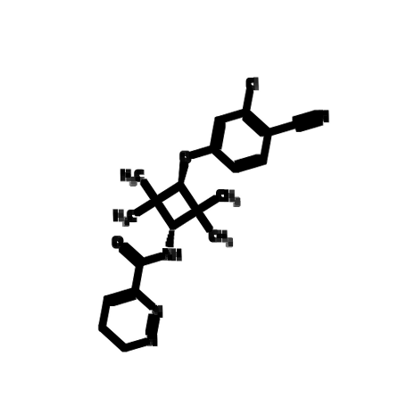 CC1(C)[C@H](NC(=O)C2=CCCN=N2)C(C)(C)[C@H]1Oc1ccc(C#N)c(Cl)c1